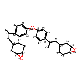 CC(CC1CCC2OC2C1)c1ccc(Oc2ccc(C(C)CC3CCC4OC4C3)cc2)cc1